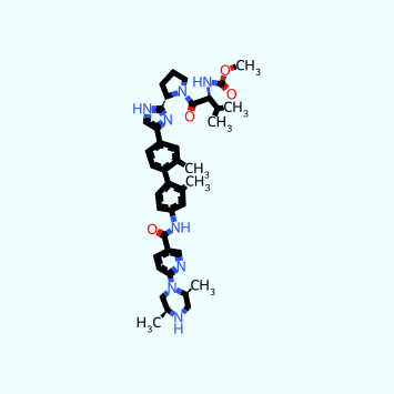 COC(=O)N[C@H](C(=O)N1CCC[C@H]1c1nc(-c2ccc(-c3ccc(NC(=O)c4ccc(N5C[C@H](C)NC[C@H]5C)nc4)cc3C)c(C)c2)c[nH]1)C(C)C